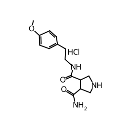 COc1ccc(CCNC(=O)C2CNCC2C(N)=O)cc1.Cl